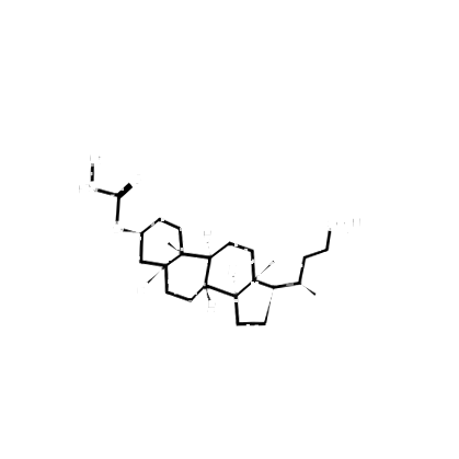 CCNC(=O)O[C@H]1CC[C@@]2(C)[C@H](CC[C@@H]3[C@@H]2CC[C@]2(C)[C@@H]([C@H](C)CCC(=O)O)CC[C@@H]32)C1